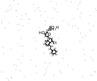 CCc1cn([C@H]2C[C@H](O)[C@@H](CNS(=O)(=O)O)O2)c2ncnc(CCc3ccccc3)c12